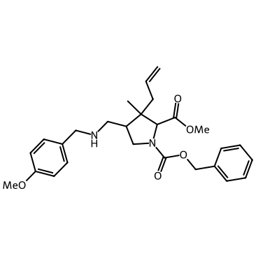 C=CCC1(C)C(CNCc2ccc(OC)cc2)CN(C(=O)OCc2ccccc2)C1C(=O)OC